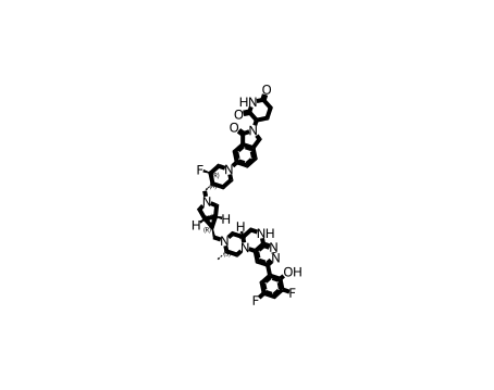 C[C@H]1CN2c3cc(-c4cc(F)cc(F)c4O)nnc3NC[C@H]2CN1C[C@H]1[C@@H]2CN(C[C@H]3CCN(c4ccc5c(c4)C(=O)N(C4CCC(=O)NC4=O)C5)C[C@@H]3F)C[C@@H]21